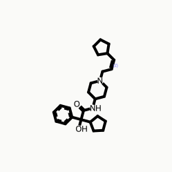 O=C(NC1CCN(C/C=C\C2CCCC2)CC1)C(O)(c1ccccc1)C1CCCC1